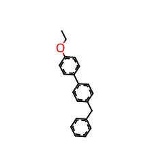 CCOc1ccc(-c2ccc(Cc3ccccc3)cc2)cc1